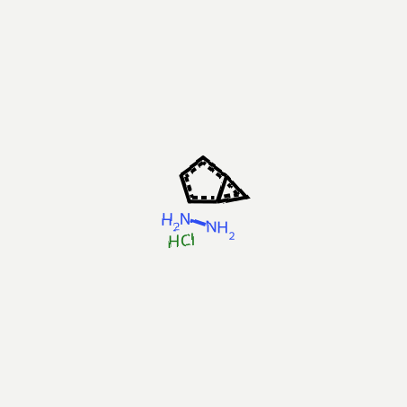 Cl.NN.c1cc2cc-2c1